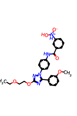 CCOCCOc1nc(-c2cccc(OC)c2)n(-c2ccc(NC(=O)c3cccc([NH+]([O-])O)c3)cc2)n1